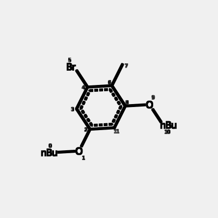 CCCCOc1cc(Br)c(C)c(OCCCC)c1